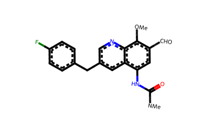 CNC(=O)Nc1cc(C=O)c(OC)c2ncc(Cc3ccc(F)cc3)cc12